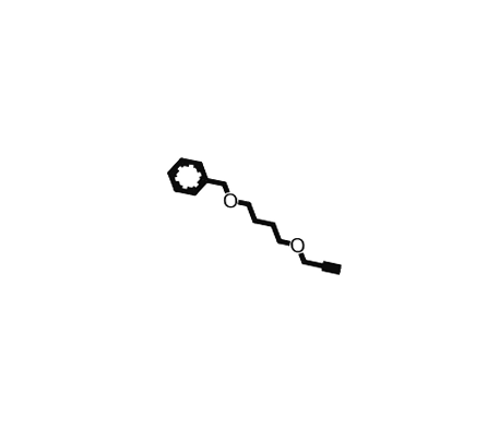 C#CCOCCCCOCc1ccccc1